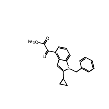 COC(=O)C(=O)c1cccc2c1cc(C1CC1)n2Cc1ccccc1